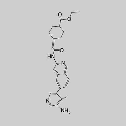 CCOC(=O)C1CCC(=CC(=O)Nc2cc3cc(-c4cncc(N)c4C)ccc3cn2)CC1